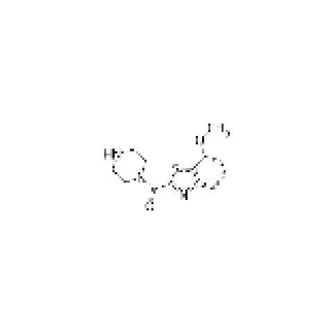 COc1cccc2nc(C(=O)N3CCNCC3)sc12